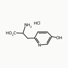 Cl.NC(Cc1ccc(O)cn1)C(=O)O